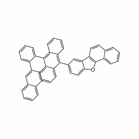 c1ccc(-c2c3ccccc3c(-c3ccc4oc5c6ccccc6ccc5c4c3)c3ccccc23)c(-c2ccc3ccccc3c2)c1